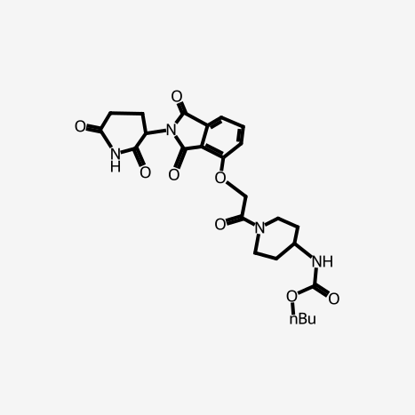 CCCCOC(=O)NC1CCN(C(=O)COc2cccc3c2C(=O)N(C2CCC(=O)NC2=O)C3=O)CC1